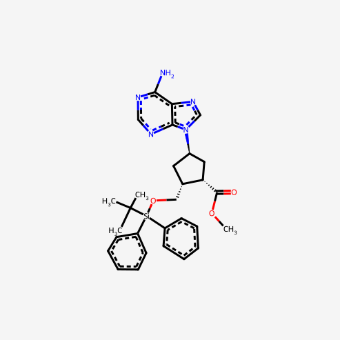 COC(=O)[C@H]1C[C@H](n2cnc3c(N)ncnc32)C[C@H]1CO[Si](c1ccccc1)(c1ccccc1)C(C)(C)C